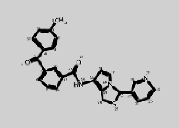 Cc1ccc(C(=O)c2cccc(C(=O)Nc3ccn4c3CSC4c3cccnc3)c2)cc1